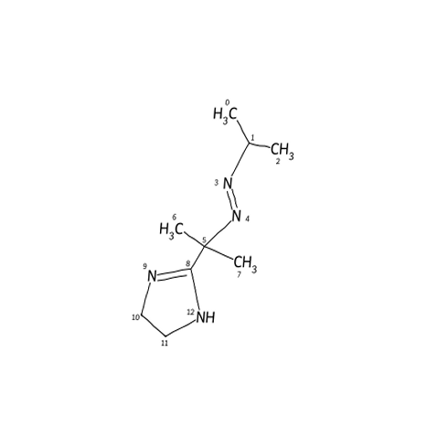 CC(C)N=NC(C)(C)C1=NCCN1